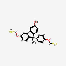 CC(c1ccc(O)cc1)(c1ccc(OCS)cc1)c1ccc(OCS)cc1